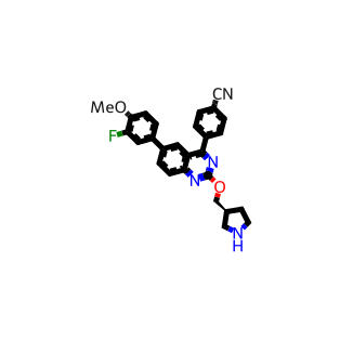 COc1ccc(-c2ccc3nc(OC[C@H]4CCNC4)nc(-c4ccc(C#N)cc4)c3c2)cc1F